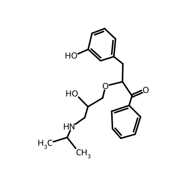 CC(C)NCC(O)COC(Cc1cccc(O)c1)C(=O)c1ccccc1